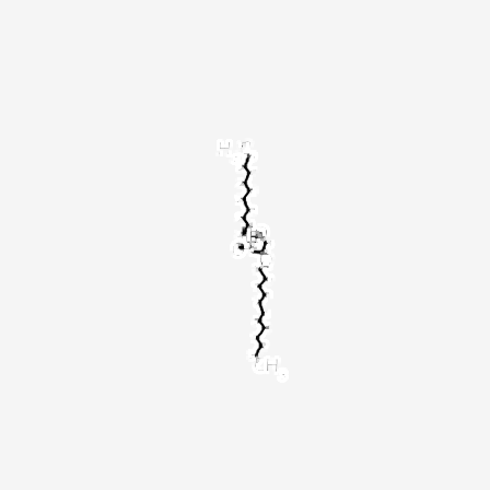 CCCCCCCCCCCCOC(CO)CS(=O)(=O)CCCCCCCCCCC